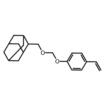 C=Cc1ccc(OCOCC2C3CC4CC(C3)CC2C4)cc1